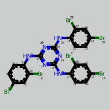 Brc1ccc(Nc2nc(Nc3ccc(Br)cc3Br)nc(Nc3ccc(Br)cc3Br)n2)c(Br)c1